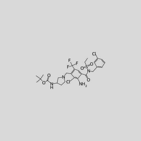 CCS(=O)(=O)N(Cc1cccc(Cl)c1)C(=O)c1cc(C(F)(F)F)c(CN2CCC(NC(=O)OC(C)(C)C)C2)c(Cl)c1N